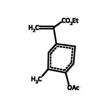 C=C(C(=O)OCC)c1ccc(OC(C)=O)c(C)c1